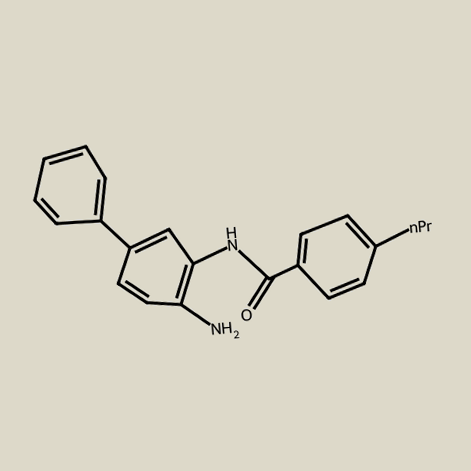 CCCc1ccc(C(=O)Nc2cc(-c3ccccc3)ccc2N)cc1